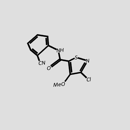 COc1c(Cl)nsc1C(=O)Nc1ccccc1C#N